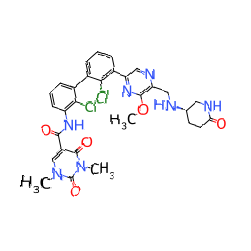 COc1nc(-c2cccc(-c3cccc(NC(=O)c4cn(C)c(=O)n(C)c4=O)c3Cl)c2Cl)cnc1CN[C@@H]1CCC(=O)NC1